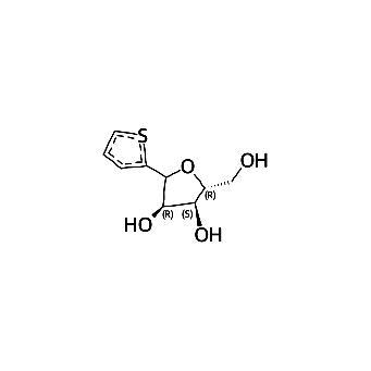 OC[C@H]1OC(c2cccs2)[C@H](O)[C@@H]1O